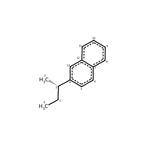 CC[C@H](C)c1ccc2ccccc2c1